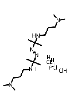 CN(C)CCCNC(C)(C)N=NC(C)(C)NCCCN(C)C.Cl.Cl.Cl.Cl